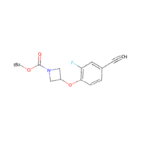 C#Cc1ccc(OC2CN(C(=O)OC(C)(C)C)C2)c(F)c1